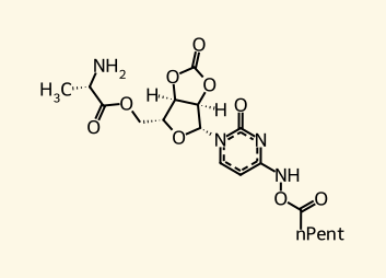 CCCCCC(=O)ONc1ccn([C@@H]2O[C@H](COC(=O)[C@H](C)N)[C@H]3OC(=O)O[C@H]32)c(=O)n1